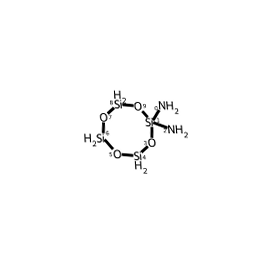 N[Si]1(N)O[SiH2]O[SiH2]O[SiH2]O1